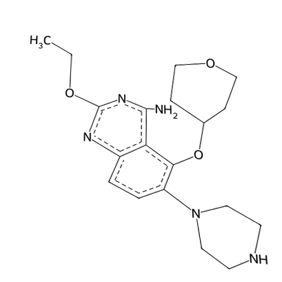 CCOc1nc(N)c2c(OC3CCOCC3)c(N3CCNCC3)ccc2n1